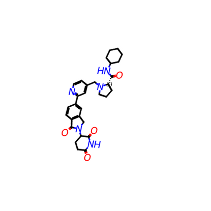 O=C1CCC(N2Cc3cc(-c4cc(CN5CCC[C@H]5C(=O)NC5CCCCC5)ccn4)ccc3C2=O)C(=O)N1